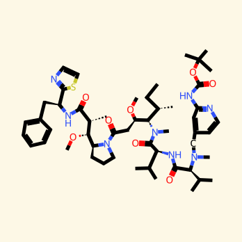 CC[C@H](C)[C@@H]([C@@H](CC(=O)N1CCC[C@H]1[C@H](OC)[C@@H](C)C(=O)N[C@@H](Cc1ccccc1)c1nccs1)OC)N(C)C(=O)[C@@H](NC(=O)[C@H](C(C)C)N(C)Cc1ccnc(NC(=O)OC(C)(C)C)c1)C(C)C